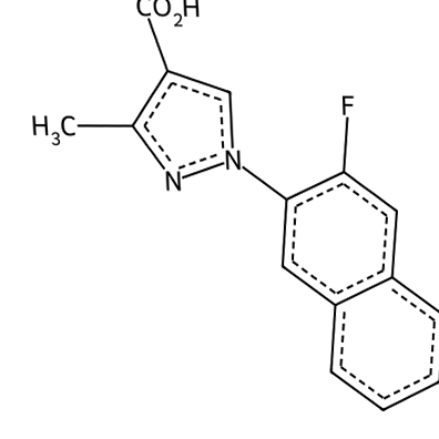 Cc1nn(-c2cc3ccccc3cc2F)cc1C(=O)O